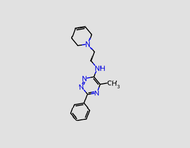 Cc1nc(-c2ccccc2)nnc1NCCN1CC=CCC1